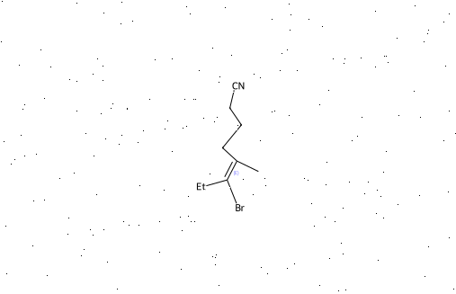 CC/C(Br)=C(/C)CCCC#N